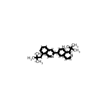 CC(C)(C)Cc1cccc2cc(-c3ccc4c(C(C)(C)C)nccc4c3)ncc12